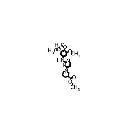 CCOC(=O)[C@H]1CCCN(c2ccnc(Nc3cc(OC)c(OC)c(OC)c3)n2)C1